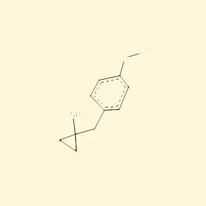 NC1(Cc2ccc(OC(F)(F)F)cc2)CC1